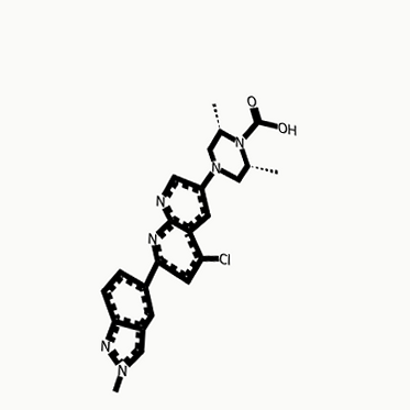 C[C@@H]1CN(c2cnc3nc(-c4ccc5nn(C)cc5c4)cc(Cl)c3c2)C[C@H](C)N1C(=O)O